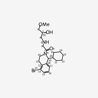 COC[C@@H](O)CNCC(=O)N1CCc2c(Br)cccc2C1C1CCCCC1